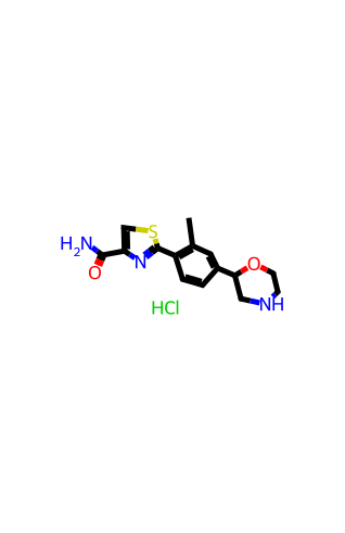 Cc1cc(C2CNCCO2)ccc1-c1nc(C(N)=O)cs1.Cl